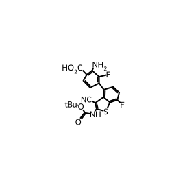 CC(C)(C)OC(=O)Nc1sc2c(F)ccc(-c3ccc(C(=O)O)c(N)c3F)c2c1C#N